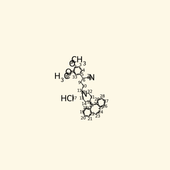 COc1ccc(C(C#N)CCCN2CCC(=C3c4ccccc4C=Cc4ccccc43)CC2)cc1OC.Cl